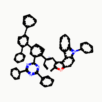 C=C/C(=C\c1c(C)oc2ccc3c(c4ccccc4n3-c3ccccc3)c12)c1ccc(-c2cc(-c3ccccc3)ccc2-c2ccccc2)cc1-c1nc(-c2ccccc2)nc(-c2ccccc2)n1